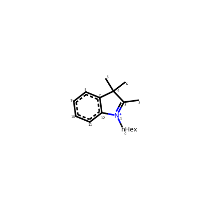 CCCCCC[N+]1=C(C)C(C)(C)c2ccccc21